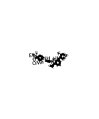 C=Cc1c2cccc(N[C@@H]3CCN(C)C[C@@H]3F)c2nn1C#CCNc1ccc(C(=O)N(C)CC)cc1OC